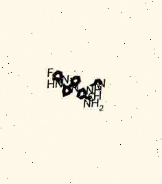 NC(=O)c1ccc(-n2c3ccccc3c3c(-c4nc5ccc(F)cc5[nH]4)cccc32)cc1NCc1ccn[nH]1